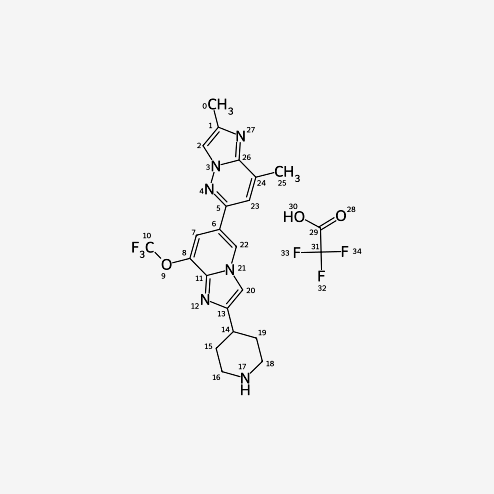 Cc1cn2nc(-c3cc(OC(F)(F)F)c4nc(C5CCNCC5)cn4c3)cc(C)c2n1.O=C(O)C(F)(F)F